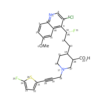 COc1ccc2ncc(Cl)c([C@H](F)CCC3CCN(CC#Cc4ccc(F)s4)CC3C(=O)O)c2c1